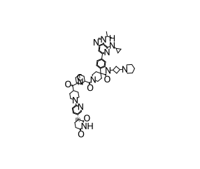 CC(C)n1cnc2cc(-c3ccc4c(c3)N(C3CC(N5CCCCC5)C3)C(=O)C43CCN(C(=O)C4CC5CCC4N(C(=O)C4CCN(c6ccc([C@H]7CCC(=O)NC7=O)cn6)CC4)C5)CC3)nc(NC3CC3)c21